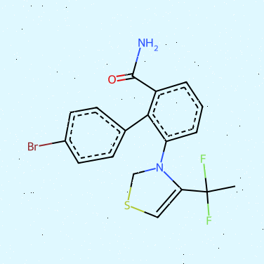 CC(F)(F)C1=CSCN1c1cccc(C(N)=O)c1-c1ccc(Br)cc1